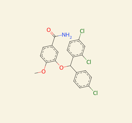 COc1ccc(C(N)=O)cc1OC(c1ccc(Cl)cc1)c1ccc(Cl)cc1Cl